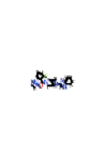 O=C(c1c(F)cccc1-n1nccn1)N1CC2CC(C1)CN(c1cnc3ccccc3n1)C2